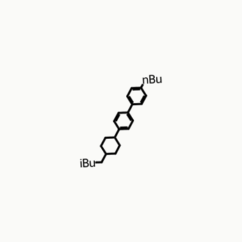 CCCCc1ccc(-c2ccc(C3CCC(CC(C)CC)CC3)cc2)cc1